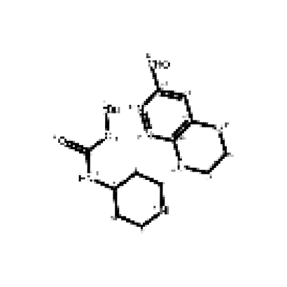 CC(C)(C)OC(=O)NC1CCNCC1.O=Cc1cc2c(nn1)OCCO2